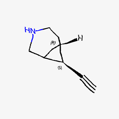 C#C[C@H]1C2CNC[C@@H]21